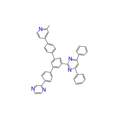 Cc1cc(-c2ccc(-c3cc(-c4ccc(-c5cnccn5)cc4)cc(-c4nc(-c5ccccc5)cc(-c5ccccc5)n4)c3)cc2)ccn1